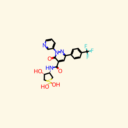 O=C(N[C@@H]1CS(O)(O)C[C@@H]1O)c1cc(-c2ccc(C(F)(F)F)cc2)nn(-c2cccnc2)c1=O